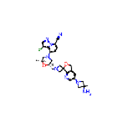 C[C@@H]1CN(c2ccc(C#N)n3ncc(F)c23)C[C@H](CN2CC3(C2)OCc2cc(N4CC(C)(N)C4)cnc23)O1